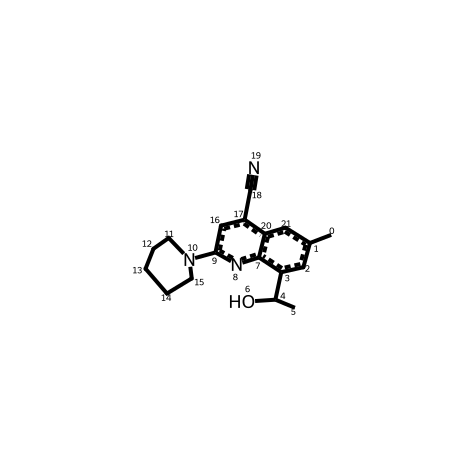 Cc1cc(C(C)O)c2nc(N3CCCCC3)cc(C#N)c2c1